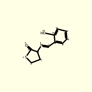 O=C1SCCC1N=Cc1ccccc1O